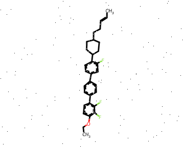 C/C=C/CCC1CCC(c2ccc(-c3ccc(-c4ccc(OCC)c(F)c4F)cc3)cc2F)CC1